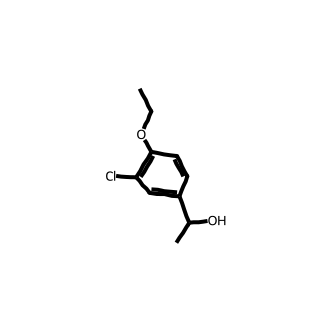 CCOc1ccc([C](C)O)cc1Cl